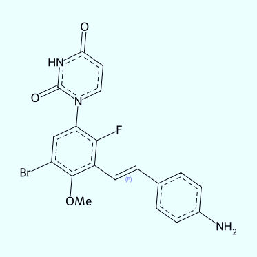 COc1c(Br)cc(-n2ccc(=O)[nH]c2=O)c(F)c1/C=C/c1ccc(N)cc1